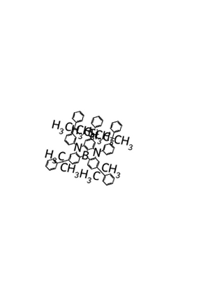 CC(C)(c1ccccc1)c1cccc(N2c3cc(C(C)(C)c4ccccc4)ccc3B3c4ccc(C(C)(C)c5ccccc5)cc4N(c4cccc(C(C)(C)c5ccccc5)c4)c4cc([Si](C)(C)c5ccccc5)cc2c43)c1